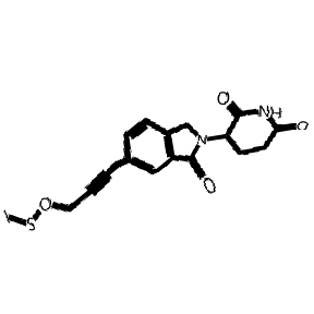 O=C1CCC(N2Cc3ccc(C#CCOSI)cc3C2=O)C(=O)N1